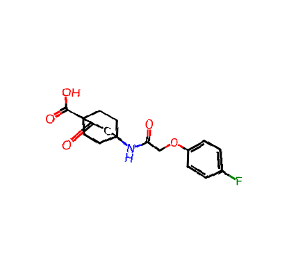 O=C(COc1ccc(F)cc1)NC12CCC(C(=O)O)(CC1)C(=O)C2